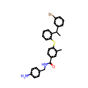 Cc1cc(C(=O)NCc2ccc(N)cc2)ccc1Sc1ccccc1C(C)c1cccc(Br)c1